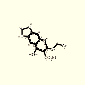 CCOC(=O)c1c(SCC(C)=O)nc2cc3c(cc2c1O)OCO3